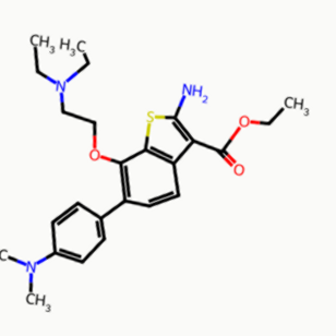 CCOC(=O)c1c(N)sc2c(OCCN(CC)CC)c(-c3ccc(N(C)C)cc3)ccc12